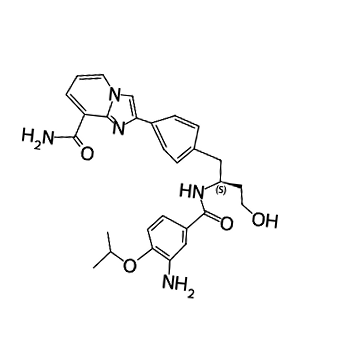 CC(C)Oc1ccc(C(=O)N[C@H](CCO)Cc2ccc(-c3cn4cccc(C(N)=O)c4n3)cc2)cc1N